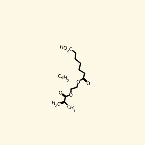 C=C(C)C(=O)OCCOC(=O)CCCCCC(=O)O.[CaH2]